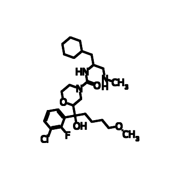 CNCC(CC1CCCCC1)NC(=O)N1CCOC(C(O)(CCCCOC)c2cccc(Cl)c2F)C1